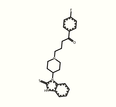 O=C(CCCN1CCC(n2c(=S)[nH]c3ccccc32)CC1)c1ccc(F)cc1